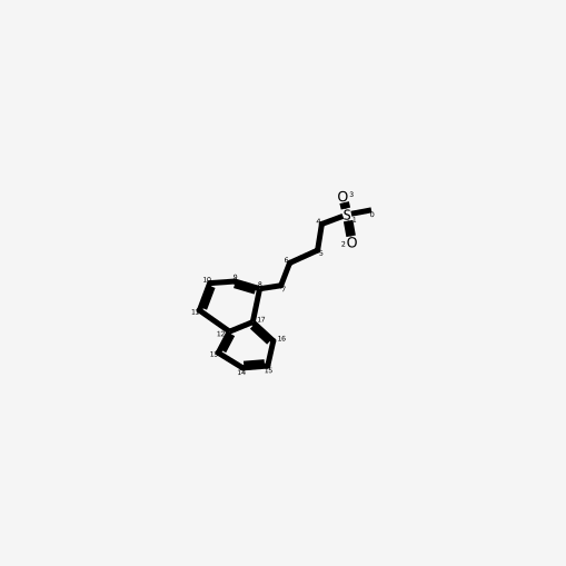 CS(=O)(=O)CCCCc1cccc2ccccc12